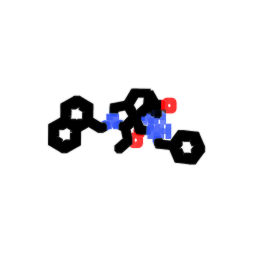 CCC12C(C)C3CC(CN1Cc1cccc4ccccc14)C2(C(=O)NCc1ccccc1)NC3=O